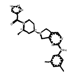 Cc1cc(C)cc(Nc2ncc3c(n2)CN([C@@H]2CCN(C(=O)c4c[nH]nn4)[C@H](C)C2)C3)c1